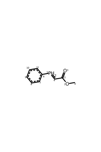 COC(=O)/C=[PH2]/c1ccccc1